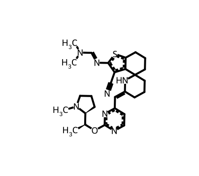 C[C@H](Oc1nccc(/C=C2\CCCC3(CCCc4sc(/N=C/N(C)C)c(C#N)c43)N2)n1)[C@@H]1CCCN1C